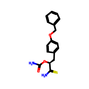 NC(=O)O[C@@H](Cc1ccc(OCc2ccccc2)cc1)C(N)=S